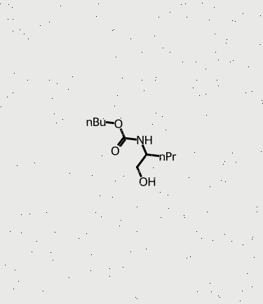 CCCCOC(=O)NC(CO)CCC